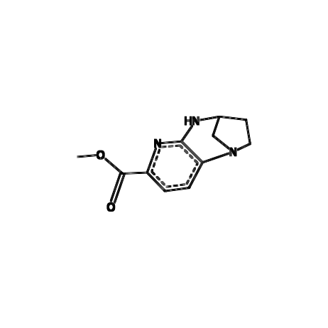 COC(=O)c1ccc2c(n1)NC1CCN2C1